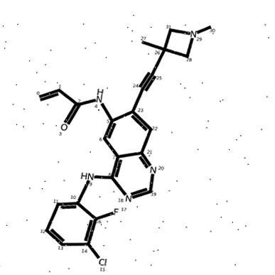 C=CC(=O)Nc1cc2c(Nc3cccc(Cl)c3F)ncnc2cc1C#CC1(C)CN(C)C1